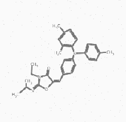 CCN1C(=O)/C(=C\c2ccc(N(c3ccc(C)cc3)c3ccc(C)cc3C)cc2)O/C1=N/C(C)C